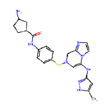 Cc1cc(NC2=CN(Sc3ccc(NC(=O)C4CCC(N)C4)cc3)CC3=NC=C[N+]23)n[nH]1